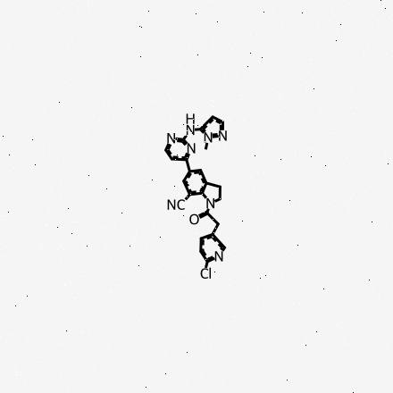 Cn1nccc1Nc1nccc(-c2cc(C#N)c3c(c2)CCN3C(=O)Cc2ccc(Cl)nc2)n1